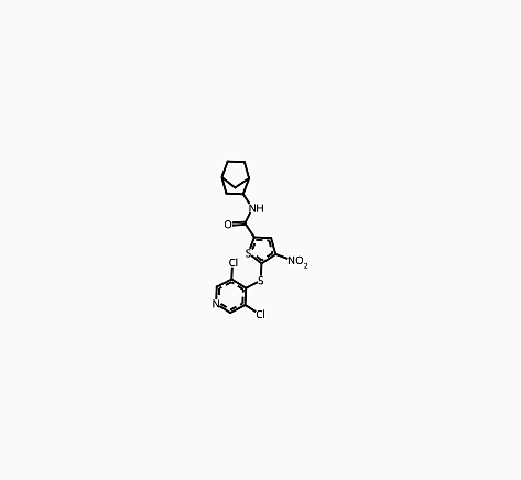 O=C(NC1CC2CCC1C2)c1cc([N+](=O)[O-])c(Sc2c(Cl)cncc2Cl)s1